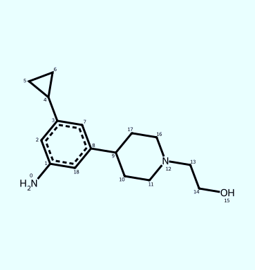 Nc1cc(C2CC2)cc(C2CCN(CCO)CC2)c1